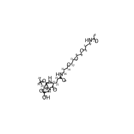 CC(=O)NCCCOCCOCCOCCCNC(=O)CC[C@H](NC(=O)OC(C)(C)C)C(=O)NCC(=O)O